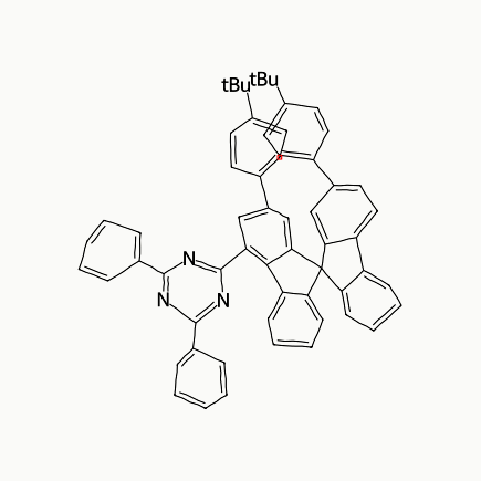 CC(C)(C)c1ccc(-c2ccc3c(c2)C2(c4ccccc4-3)c3ccccc3-c3c(-c4nc(-c5ccccc5)nc(-c5ccccc5)n4)cc(-c4ccc(C(C)(C)C)cc4)cc32)cc1